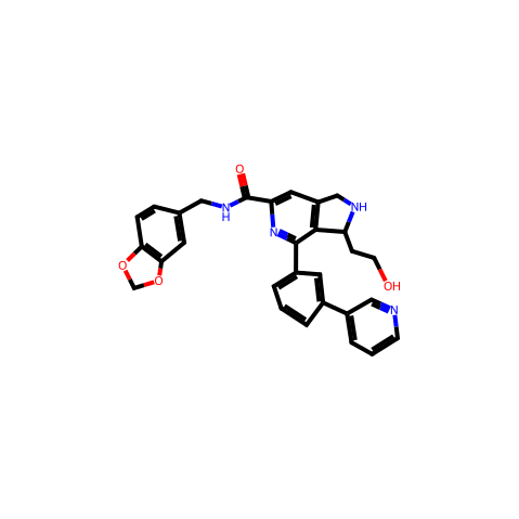 O=C(NCc1ccc2c(c1)OCO2)c1cc2c(c(-c3cccc(-c4cccnc4)c3)n1)C(CCO)NC2